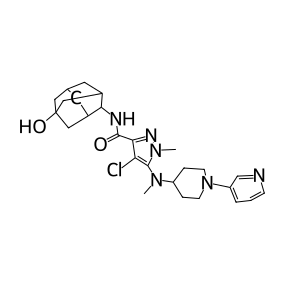 CN(c1c(Cl)c(C(=O)NC2C3CC4CC2CC(O)(C4)C3)nn1C)C1CCN(c2cccnc2)CC1